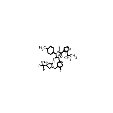 CC1CCC([C@H](NC(=O)c2ccnn2C(C)C)C(=O)Nc2cc(CN3C[C@@H](C(F)(F)F)NC3=O)c(F)cn2)CC1